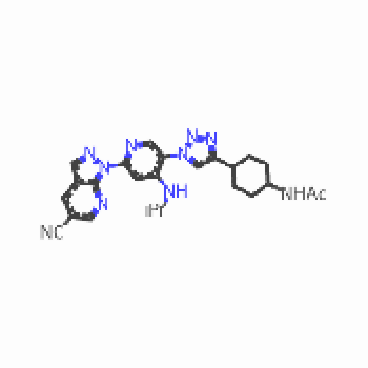 CC(=O)NC1CCC(c2cn(-c3cnc(-n4ncc5cc(C#N)cnc54)cc3NC(C)C)nn2)CC1